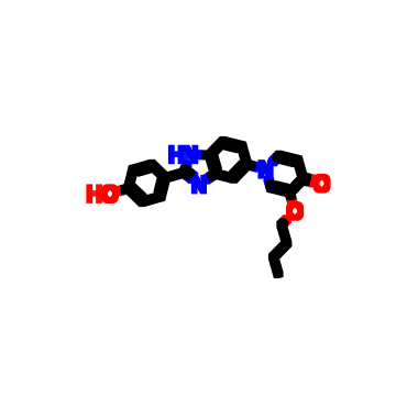 CCCCOc1cn(-c2ccc3[nH]c(-c4ccc(O)cc4)nc3c2)ccc1=O